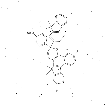 COc1ccc(C2(C3=CC4=C(CC3)c3ccccc3C4(C)C)C=Cc3c4c(c5ccc(F)cc5c3O2)-c2ccc(F)cc2C4(C)C)cc1